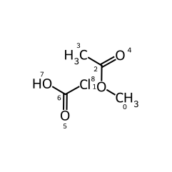 COC(C)=O.O=C(O)Cl